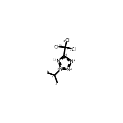 CC(C)n1nnc(C(Cl)(Cl)Cl)n1